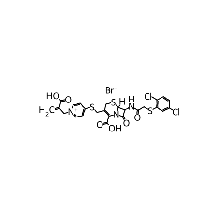 C=C(C[n+]1ccc(SCC2=C(C(=O)O)N3C(=O)[C@H](NC(=O)CSc4cc(Cl)ccc4Cl)[C@H]3SC2)cc1)C(=O)O.[Br-]